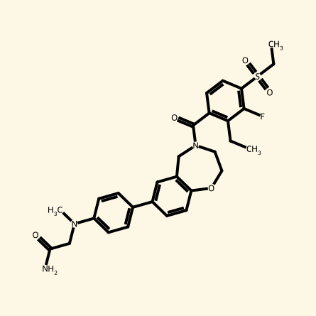 CCc1c(C(=O)N2CCOc3ccc(-c4ccc(N(C)CC(N)=O)cc4)cc3C2)ccc(S(=O)(=O)CC)c1F